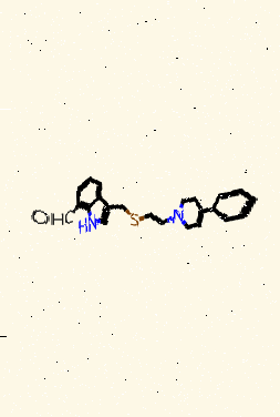 O=Cc1cccc2c(CSCCN3CC=C(c4ccccc4)CC3)c[nH]c12